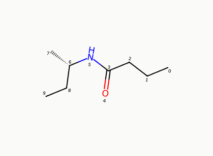 CCCC(=O)N[C@@H](C)CC